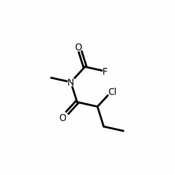 CCC(Cl)C(=O)N(C)C(=O)F